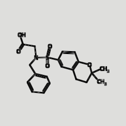 CC1(C)CCc2cc(S(=O)(=O)N(CC(=O)O)Cc3ccccc3)ccc2O1